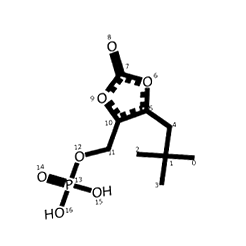 CC(C)(C)Cc1oc(=O)oc1COP(=O)(O)O